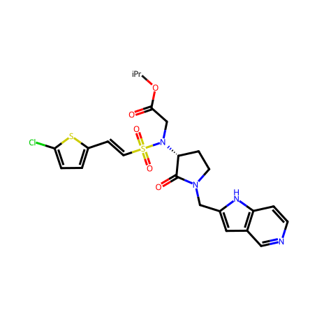 CC(C)OC(=O)CN([C@@H]1CCN(Cc2cc3cnccc3[nH]2)C1=O)S(=O)(=O)C=Cc1ccc(Cl)s1